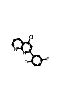 Fc1ccc(F)c(-c2cc(Cl)c3cccnc3n2)c1